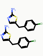 Nc1ncc(Cc2ccc(Cl)cc2)s1.Nc1ncc(Cc2ccc(Cl)cc2)s1